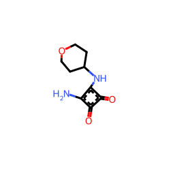 Nc1c(NC2CCOCC2)c(=O)c1=O